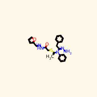 C=C(SCC(=O)N/N=C/c1ccco1)N(/C(Cc1ccccc1)=N\N)c1ccccc1